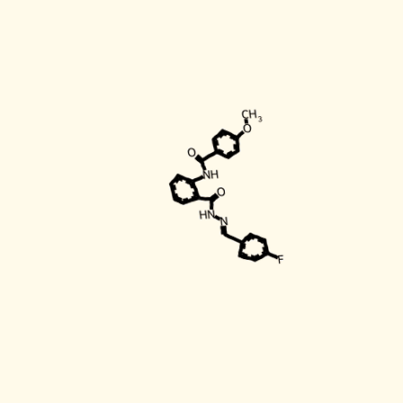 COc1ccc(C(=O)Nc2ccccc2C(=O)NN=Cc2ccc(F)cc2)cc1